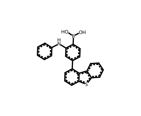 OB(O)c1ccc(-c2cccc3sc4ccccc4c23)cc1Nc1ccccc1